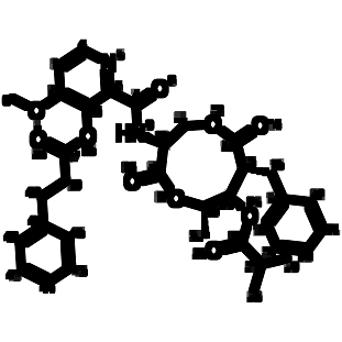 COc1ccnc(C(=O)N[C@H]2COC(=O)[C@H](Cc3ccccc3)[C@@H](OC(=O)C(C)C)[C@H](C)OC2=O)c1OC(=O)CCc1ccccc1